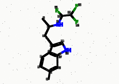 Cc1ccc2c(CC(C)NC(F)C(F)F)c[nH]c2c1